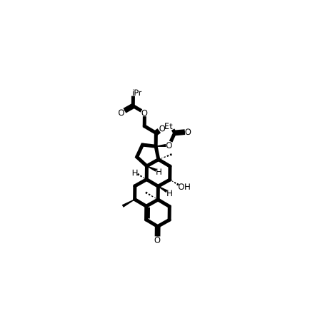 CCC(=O)O[C@]1(C(=O)COC(=O)C(C)C)CC[C@H]2[C@@H]3C[C@H](C)C4=CC(=O)CC[C@]4(C)[C@H]3[C@@H](O)C[C@@]21C